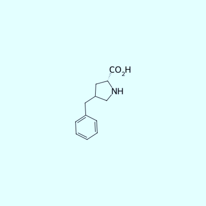 O=C(O)[C@H]1CC(Cc2ccccc2)CN1